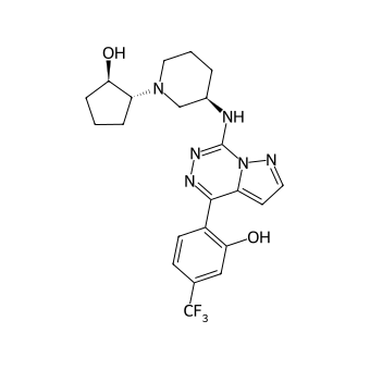 Oc1cc(C(F)(F)F)ccc1-c1nnc(N[C@@H]2CCCN([C@@H]3CCC[C@H]3O)C2)n2nccc12